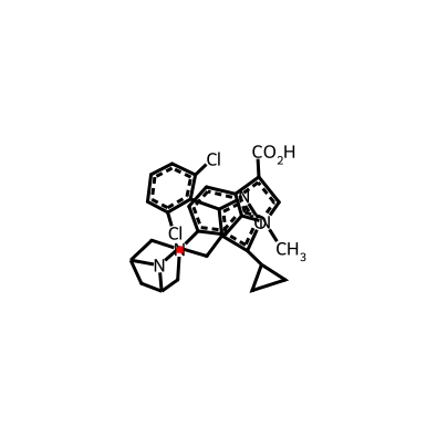 Cn1cc(C(=O)O)c2ccc(N3CC4CC(C3)N4CCc3c(-c4c(Cl)cccc4Cl)noc3C3CC3)cc21